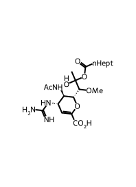 CCCCCCCC(=O)OC(C)(O)C(OC)[C@@H]1OC(C(=O)O)=C[C@H](NC(=N)N)[C@H]1NC(C)=O